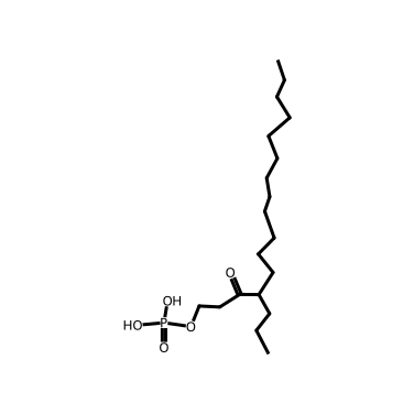 CCCCCCCCCCCCC(CCC)C(=O)CCOP(=O)(O)O